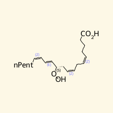 CCCCC/C=C\C=C\[C@H](C/C=C\C/C=C\CCCC(=O)O)OO